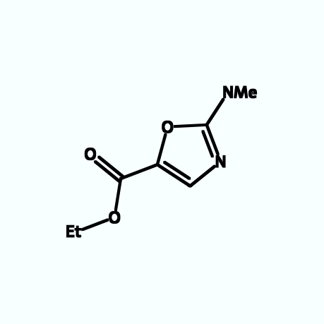 CCOC(=O)c1cnc(NC)o1